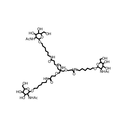 CC(=O)NC1C(OCCCCCCNC(=O)CCOCC(COCCC(=O)NCCCCCCOC2OC(CO)C(O)C(O)C2NC(C)=O)(COCCC(=O)NCCCCCCOC2OC(CO)C(O)C(O)C2NC(C)=O)NC(C)C)OC(CO)C(O)C1O